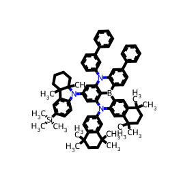 CC1(C)CCC(C)(C)c2cc(N3c4cc5c(cc4B4c6ccc(-c7ccccc7)cc6N(c6cccc(-c7ccccc7)c6)c6cc(N7c8ccc([Si](C)(C)C)cc8C8(C)CCCCC78C)cc3c64)C(C)(C)CCC5(C)C)ccc21